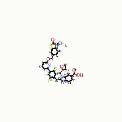 Cn1c(=O)sc2cc(COc3cccc(-c4cc(F)c(Cc5nc6ccc(C(=O)O)cc6n5C[C@@H]5CCO5)cc4F)n3)ccc21